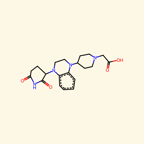 O=C(O)CN1CCC(N2CCN(C3CCC(=O)NC3=O)c3ccccc32)CC1